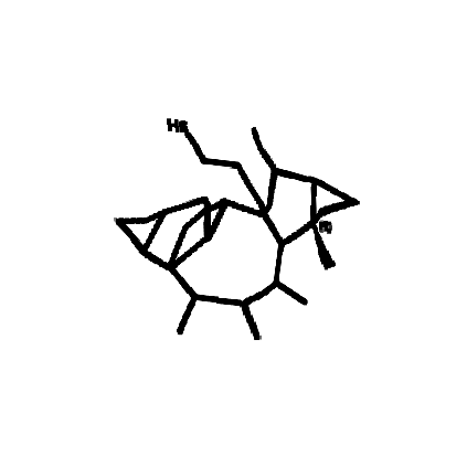 CC1C(C)C2C(CCS)(C(C)C3C[C@@]32C)C2CC3(C1C)C1CC1CC23